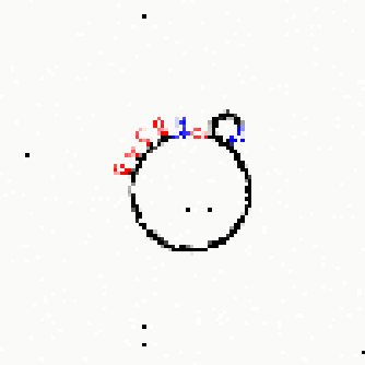 O=C1CC=CC=CC=CC=CC=CC=CC=Cc2ncccc2ONC(=O)C(=O)C1=O